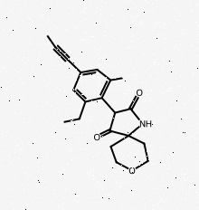 CC#Cc1cc(C)c(C2C(=O)NC3(CCOCC3)C2=O)c(CC)c1